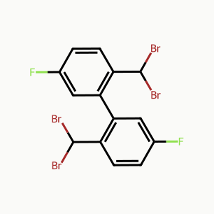 Fc1ccc(C(Br)Br)c(-c2cc(F)ccc2C(Br)Br)c1